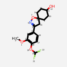 COc1cc(C2=NOC3(CCC(O)CC3)C2)ccc1OC(F)F